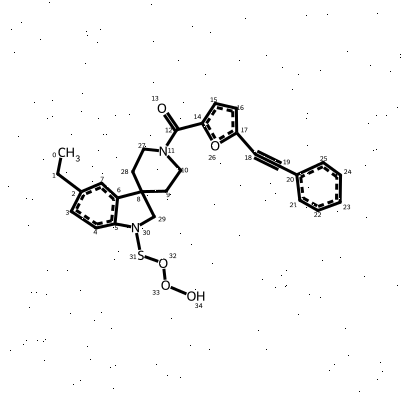 CCc1ccc2c(c1)C1(CCN(C(=O)c3ccc(C#Cc4ccccc4)o3)CC1)CN2SOOO